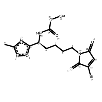 Cc1noc([C@H](CCCCN2C(=O)C=C(Br)C2=O)NC(=O)OC(C)(C)C)n1